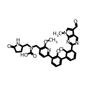 COc1nc(-c2cccc(-c3cccc(-c4ncc5c(C=O)cn(C)c5n4)c3Cl)c2Cl)ccc1CN(CC1CCC(=O)N1)C(=O)O